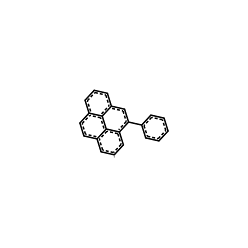 [c]1cc2ccc3cccc4cc(-c5ccccc5)c(c1)c2c34